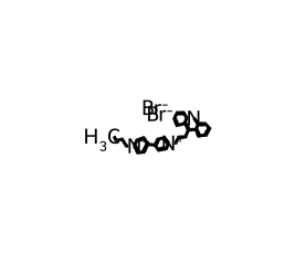 CCCC[n+]1ccc(-c2cc[n+](CCCc3c4ccccc4nc4ccccc34)cc2)cc1.[Br-].[Br-]